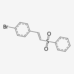 O=S(=O)(/C=C/c1ccc(Br)cc1)c1ccccc1